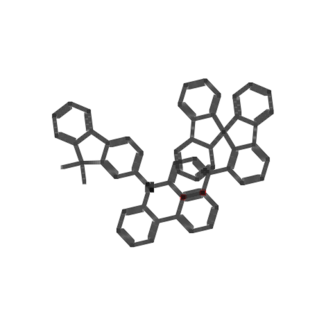 CC1(C)c2ccccc2-c2ccc(N(c3ccc(-c4cccc5c4C4(c6ccccc6-5)c5ccccc5C5C=CC=CC54)cc3)c3ccccc3-c3ccccc3)cc21